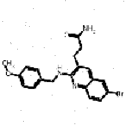 COc1ccc(CNc2nc3ccc(Br)cc3cc2CCC(N)=O)cc1